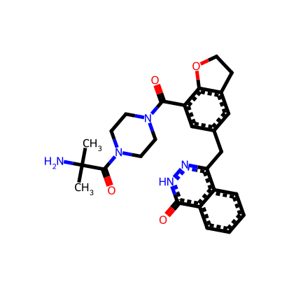 CC(C)(N)C(=O)N1CCN(C(=O)c2cc(Cc3n[nH]c(=O)c4ccccc34)cc3c2OCC3)CC1